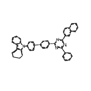 C1=c2c(n(-c3ccc(-c4ccc(-c5nc(-c6ccccc6)nc(-c6ccc7ccccc7c6)n5)cc4)cc3)c3ccccc23)=CCC1